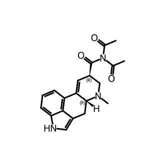 CC(=O)N(C(C)=O)C(=O)[C@@H]1C=C2c3cccc4[nH]cc(c34)C[C@H]2N(C)C1